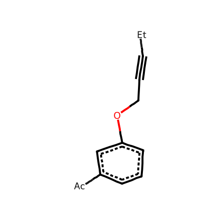 CCC#CCOc1cccc(C(C)=O)c1